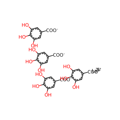 O=C([O-])c1cc(O)c(O)c(O)c1.O=C([O-])c1cc(O)c(O)c(O)c1.O=C([O-])c1cc(O)c(O)c(O)c1.O=C([O-])c1cc(O)c(O)c(O)c1.[La+3].[Tl+]